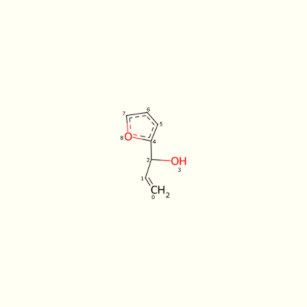 C=CC(O)c1ccco1